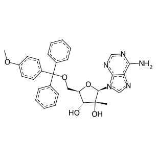 COc1ccc(C(OC[C@H]2O[C@@H](n3cnc4c(N)ncnc43)[C@](C)(O)[C@@H]2O)(c2ccccc2)c2ccccc2)cc1